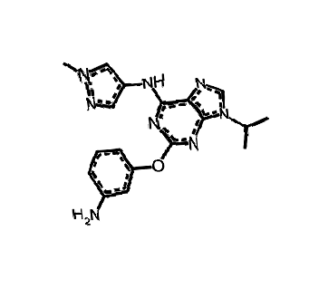 CC(C)n1cnc2c(Nc3cnn(C)c3)nc(Oc3cccc(N)c3)nc21